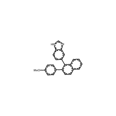 COc1ccc(-c2ccc3ccccc3c2-c2ccc3[nH]cnc3c2)cc1